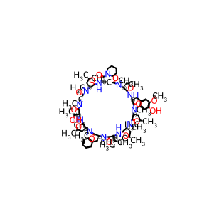 CC[C@H]1C(=O)N[C@@H](Cc2ccc(O)c(OC)c2)C(=O)N(C)[C@@H](CC(C)C)C(=O)N(C)[C@@H](CC(C)C)C(=O)N[C@@H](C(C)C)C(=O)N(C)[C@@H](Cc2ccccc2)C(=O)N(C)[C@@H](CC(C)C)C(=O)N[C@@H]([C@@H](C)O)C(=O)N(C)CC(=O)N(C)[C@@H](CC(C)C)C(=O)N[C@H](C(=O)N2CCCCC2)CC(=O)N1C